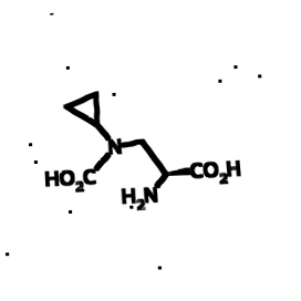 N[C@@H](CN(C(=O)O)C1CC1)C(=O)O